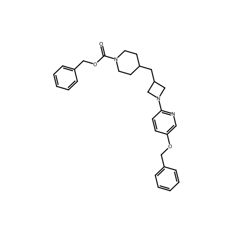 O=C(OCc1ccccc1)N1CCC(CC2CN(c3ccc(OCc4ccccc4)cn3)C2)CC1